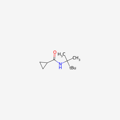 CC(C)(C)C(C)(C)NC(=O)C1CC1